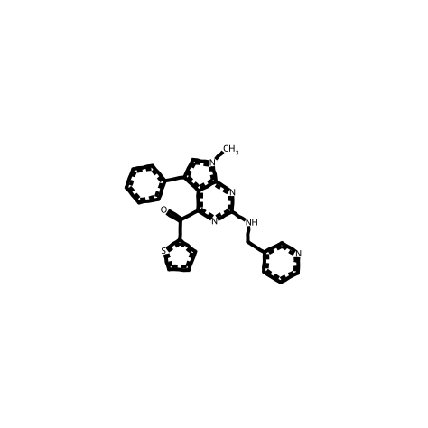 Cn1cc(-c2ccccc2)c2c(C(=O)c3cccs3)nc(NCc3cccnc3)nc21